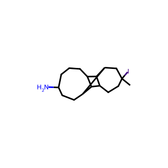 CC1(I)CCC2C3C4CCC(N)CCCC3C2C4C1